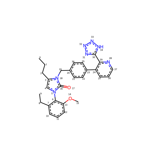 CCCc1cn(-c2c(CC)cccc2OC)c(=O)n1Cc1ccc(-c2cccnc2-c2nnn[nH]2)cc1